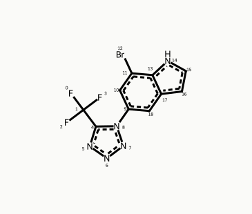 FC(F)(F)c1nnnn1-c1cc(Br)c2[nH]ccc2c1